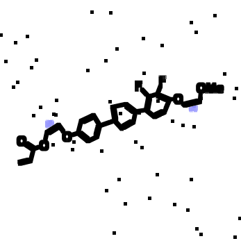 C=CC(=O)O/C=C\Oc1ccc(-c2ccc(-c3ccc(O/C=C\OC)c(F)c3F)cc2)cc1